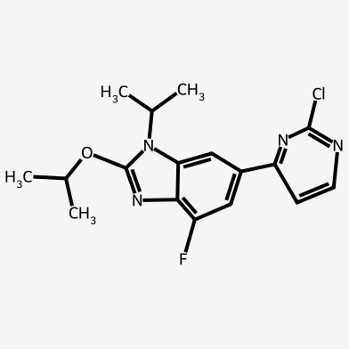 CC(C)Oc1nc2c(F)cc(-c3ccnc(Cl)n3)cc2n1C(C)C